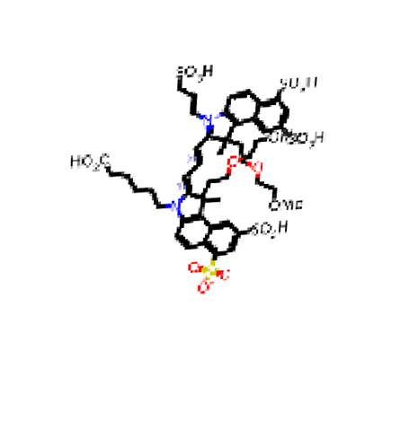 COCCOCCC1(C)C(/C=C/C=C2/N(CCCCCC(=O)O)c3ccc4c(S(=O)(=O)[O-])cc(S(=O)(=O)O)cc4c3C2(C)CCOCCOC)=[N+](CCCS(=O)(=O)O)c2ccc3c(S(=O)(=O)O)cc(S(=O)(=O)O)cc3c21